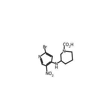 O=C(O)N1CCCC(Nc2cc(Br)ncc2[N+](=O)[O-])C1